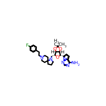 CC1(C)O[C@@H]2[C@H](O1)[C@@H](CN1CCCC13CCN(CCc1ccc(F)cc1)CC3)O[C@H]2c1ccc2c(N)ncnn12